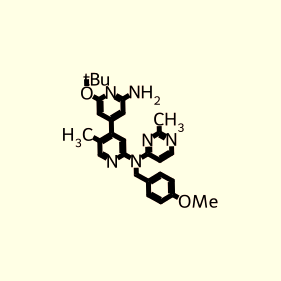 COc1ccc(CN(c2cc(-c3cc(N)nc(OC(C)(C)C)c3)c(C)cn2)c2ccnc(C)n2)cc1